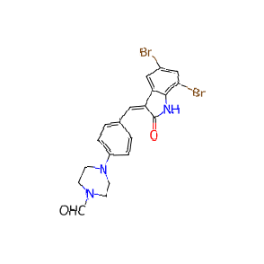 O=CN1CCN(c2ccc(C=C3C(=O)Nc4c(Br)cc(Br)cc43)cc2)CC1